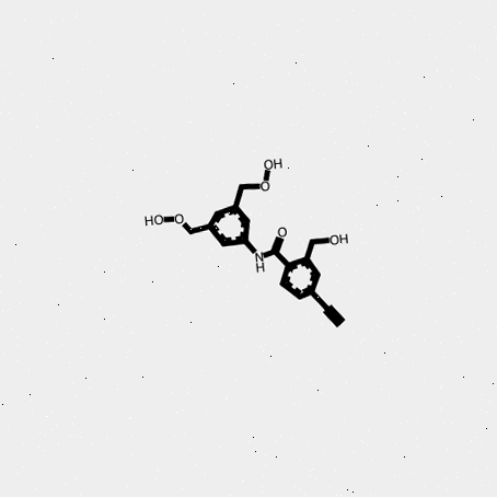 C#Cc1ccc(C(=O)Nc2cc(COO)cc(COO)c2)c(CO)c1